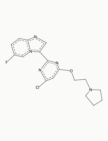 Fc1ccc2ncc(-c3nc(Cl)cc(OCCN4CCCC4)n3)n2c1